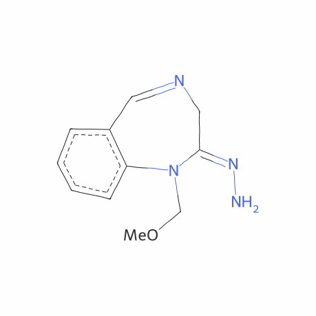 COCN1C(=NN)CN=Cc2ccccc21